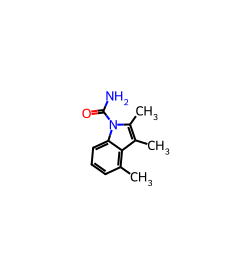 Cc1cccc2c1c(C)c(C)n2C(N)=O